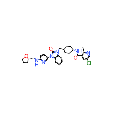 Cc1ncc(Cl)cc1C(=O)NC1CCC(Cn2c(=O)n(-c3ccc(NC[C@@H]4CCCO4)nc3)c3ccccc32)CC1